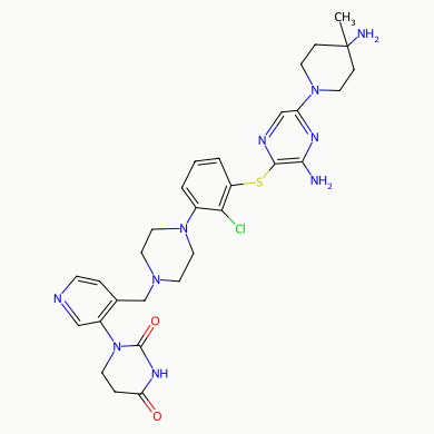 CC1(N)CCN(c2cnc(Sc3cccc(N4CCN(Cc5ccncc5N5CCC(=O)NC5=O)CC4)c3Cl)c(N)n2)CC1